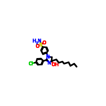 CCCCCCCCC1(O)CN(c2ccc(S(N)(=O)=O)cc2)C(c2ccc(Cl)cc2)=N1